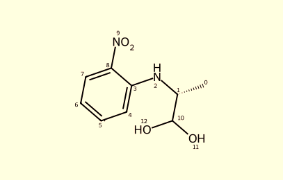 C[C@@H](Nc1c[c]ccc1[N+](=O)[O-])C(O)O